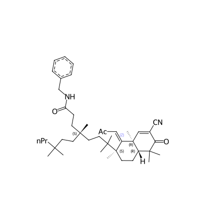 CCCC(C)(C)CC[C@](C)(CCC(=O)NCc1ccccc1)CCC(C)(C)[C@]1(C)CC[C@H]2C(C)(C)C(=O)C(C#N)=C[C@]2(C)/C1=C/C(C)=O